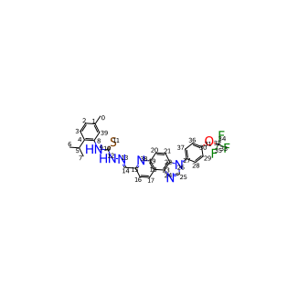 Cc1ccc(C(C)C)c(NC(=S)NN=Cc2ccc3c(ccc4c3ncn4-c3ccc(OC(F)(F)F)cc3)n2)c1